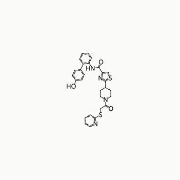 O=C(Nc1ccccc1-c1ccc(O)cc1)c1csc(C2CCN(C(=O)CSc3ccccn3)CC2)n1